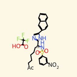 CC(=O)CCCCC[C@H](NS(=O)(=O)c1cccc([N+](=O)[O-])c1)c1ncc(-c2ccc3ccccc3c2)[nH]1.O=C(O)C(F)(F)F